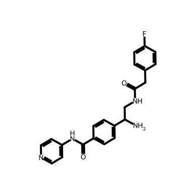 NC(CNC(=O)Cc1ccc(F)cc1)c1ccc(C(=O)Nc2ccncc2)cc1